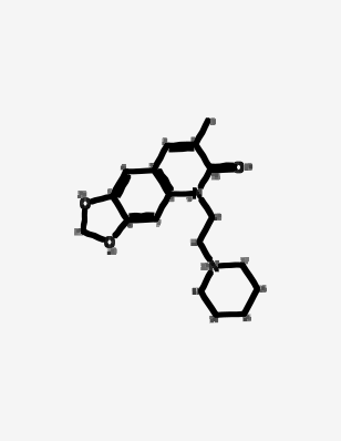 Cc1cc2cc3c(cc2n(CCN2CCCCC2)c1=O)OCO3